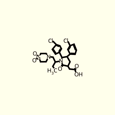 CCC(CN1CCS(=O)(=O)CC1)N1C(=O)C(CC(=O)O)CC(c2cccc(Cl)c2)C1c1ccc(Cl)cc1